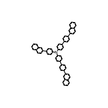 c1ccc2cc(-c3ccc(-c4ccc(N(c5ccc(-c6ccc(-c7ccc8ccccc8c7)cc6)cc5)c5ccc(-c6ccc7ccccc7c6)cc5)cc4)cc3)ccc2c1